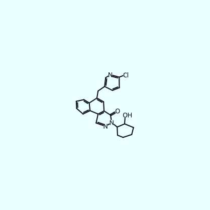 O=c1c2cc(Cc3ccc(Cl)nc3)c3ccccc3c2cnn1C1CCCCC1O